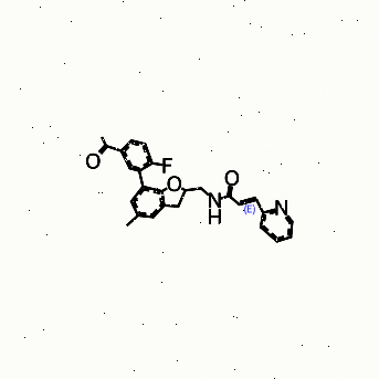 CC(=O)c1ccc(F)c(-c2cc(C)cc3c2OC(CNC(=O)/C=C/c2ccccn2)C3)c1